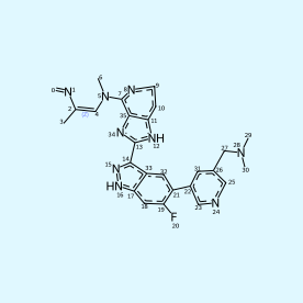 C=N/C(C)=C\N(C)c1nccc2[nH]c(-c3n[nH]c4cc(F)c(-c5cncc(CN(C)C)c5)cc34)nc12